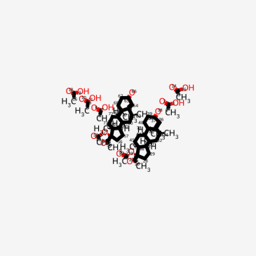 CC(=O)O.CC(=O)O.CC(=O)O.CC(=O)O.CC(=O)O.CC(=O)O[C@]1(C(C)=O)CC[C@H]2[C@@H]3C[C@H](C)C4=CC(=O)CC[C@]4(C)[C@H]3CC[C@@]21C.CC(=O)O[C@]1(C(C)=O)CC[C@H]2[C@@H]3C[C@H](C)C4=CC(=O)CC[C@]4(C)[C@H]3CC[C@@]21C